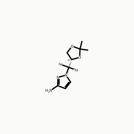 [2H]C([2H])([C@@H]1COC(C)(C)O1)n1ccc(N)n1